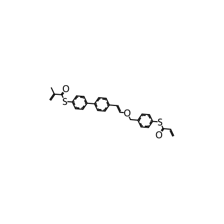 C=CC(=O)Sc1ccc(CO/C=C/c2ccc(-c3ccc(SC(=O)C(=C)C)cc3)cc2)cc1